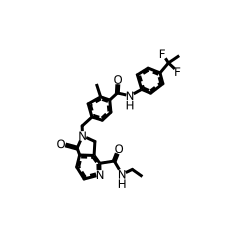 CCNC(=O)c1nccc2c1CN(Cc1ccc(C(=O)Nc3ccc(C(C)(F)F)cc3)c(C)c1)C2=O